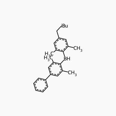 CCC(C)Cc1cc(C)c(Bc2c(C)cc(-c3ccccc3)cc2C)c(C)c1